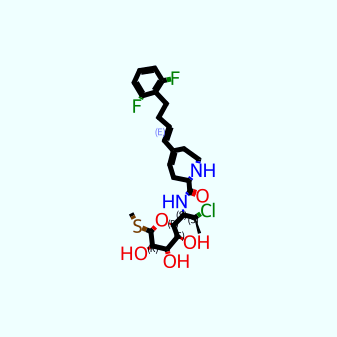 CSC1O[C@H]([C@H](NC(=O)C2CC=C(/C=C/CCc3c(F)cccc3F)CCN2)[C@H](C)Cl)[C@@H](O)C(O)[C@H]1O